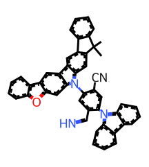 CC1(C)c2ccccc2-c2cc3c4cc5c(cc4n(-c4cc(C=N)c(-n6c7ccccc7c7ccccc76)cc4C#N)c3cc21)oc1ccccc15